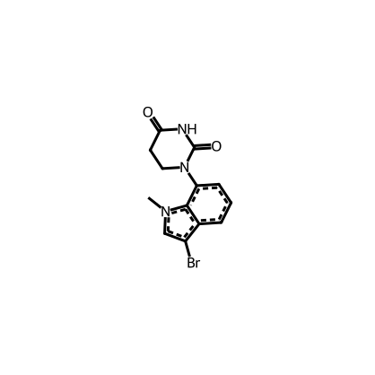 Cn1cc(Br)c2cccc(N3CCC(=O)NC3=O)c21